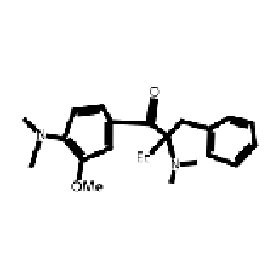 CCC(Cc1ccccc1)(C(=O)c1ccc(N(C)C)c(OC)c1)N(C)C